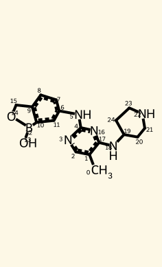 Cc1cnc(Nc2ccc3c(c2)B(O)OC3)nc1NC1CCNCC1